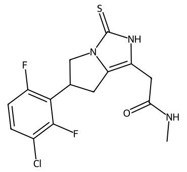 CNC(=O)Cc1[nH]c(=S)n2c1CC(c1c(F)ccc(Cl)c1F)C2